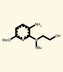 CCCCN(CCO)c1nc(OC)ccc1N